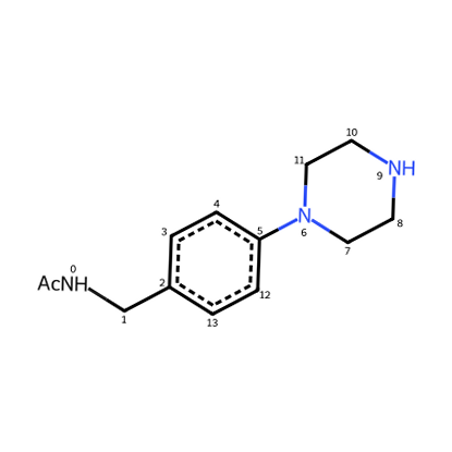 CC(=O)NCc1ccc(N2CCNCC2)cc1